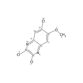 COc1cc2nc(Cl)c(Cl)nc2cc1Cl